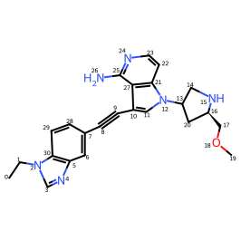 CCn1cnc2cc(C#Cc3cn(C4CN[C@@H](COC)C4)c4ccnc(N)c34)ccc21